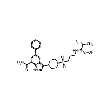 CC(C)[C@@H](CO)NCCCS(=O)(=O)N1CCC(c2c[nH]c3c(C(N)=O)cc(-c4ccccc4)cc23)CC1